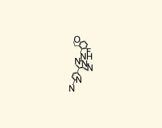 N#Cc1ccc(-c2cnc(NCc3c(F)ccc4c3CCO4)n3cncc23)cn1